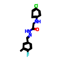 Cc1cc(/C=N/NC(=O)CNc2ccc(Cl)cc2)ccc1F